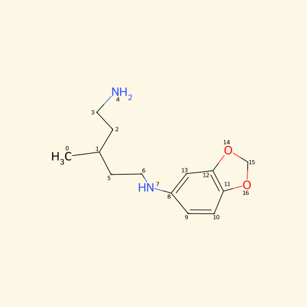 CC(CCN)CCNc1ccc2c(c1)OCO2